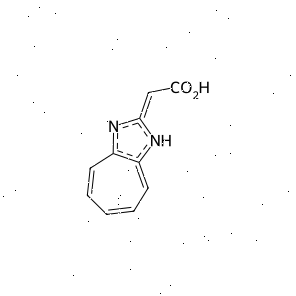 O=C(O)C=c1nc2c([nH]1)=CC=CC=C2